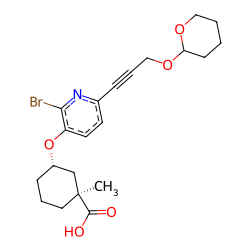 C[C@]1(C(=O)O)CCC[C@H](Oc2ccc(C#CCOC3CCCCO3)nc2Br)C1